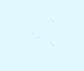 Cc1ccc(B(c2cccnc2)c2cccnc2)cn1